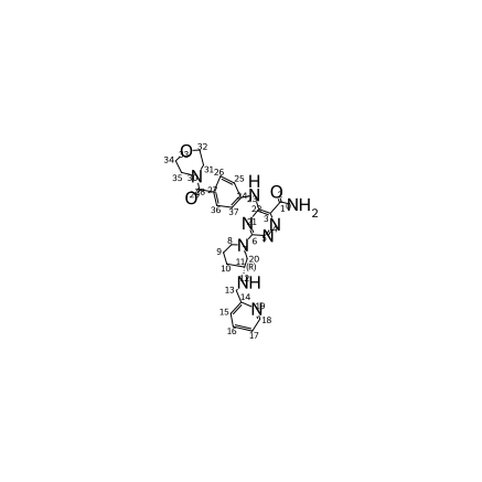 NC(=O)c1nnc(N2CCC[C@@H](NCc3ccccn3)C2)nc1Nc1ccc(C(=O)N2CCOCC2)cc1